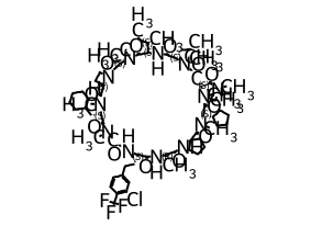 CC[C@H](C)[C@@H]1NC(=O)[C@H](CC(C)C)N(C)C(=O)C[C@@H](C(=O)N(C)C)N(C)C(=O)[C@H](C2CCCC2)N(C)C(=O)C2(CCCC2)NC(=O)[C@@H](C)NC(=O)[C@H](CCc2ccc(C(F)(F)F)c(Cl)c2)NC(=O)CN(C)C(=O)[C@H](CC2CCCCC2)N(C)C(=O)[C@@H]2CCN2C(=O)[C@H](C)N(C)C1=O